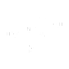 O=C(O)/C=C\C(=O)NC1(C(=O)O)CNC1